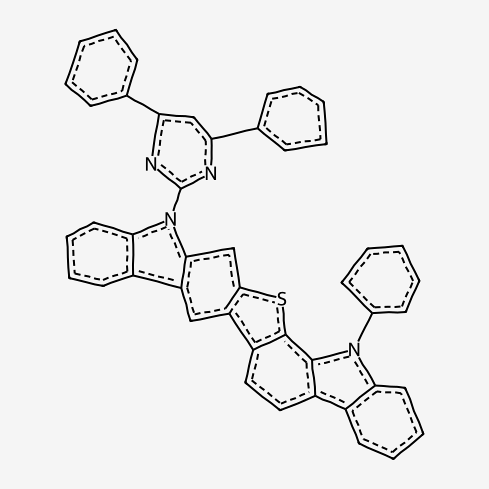 c1ccc(-c2cc(-c3ccccc3)nc(-n3c4ccccc4c4cc5c(cc43)sc3c5ccc4c5ccccc5n(-c5ccccc5)c43)n2)cc1